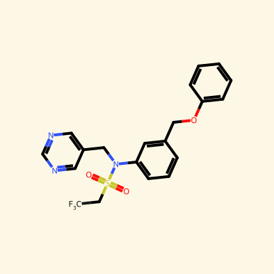 O=S(=O)(CC(F)(F)F)N(Cc1cncnc1)c1cccc(COc2ccccc2)c1